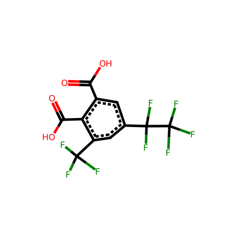 O=C(O)c1cc(C(F)(F)C(F)(F)F)cc(C(F)(F)F)c1C(=O)O